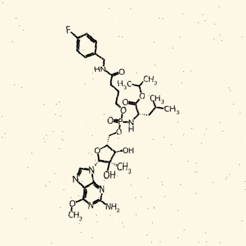 COc1nc(N)nc2c1ncn2[C@@H]1O[C@H](COP(=O)(N[C@@H](CC(C)C)C(=O)OC(C)C)OCCCC(=O)NCc2ccc(F)cc2)[C@@H](O)[C@@]1(C)O